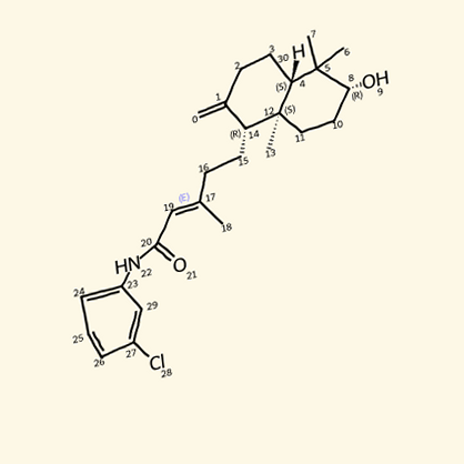 C=C1CC[C@@H]2C(C)(C)[C@H](O)CC[C@@]2(C)[C@@H]1CC/C(C)=C/C(=O)Nc1cccc(Cl)c1